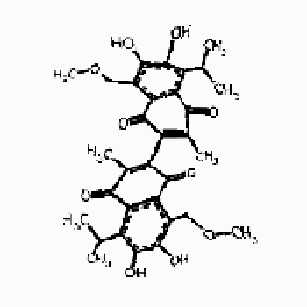 COCc1c(O)c(O)c(C(C)C)c2c1C(=O)C(C1=C(C)C(=O)c3c(c(COC)c(O)c(O)c3C(C)C)C1=O)=C(C)C2=O